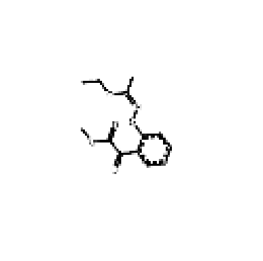 CCOC(C)=NOc1ccccc1C(=O)C(=O)OC